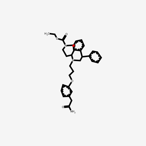 CCOC(=O)N1CCC(N(CCCOc2cccc(CC(N)=O)c2)CC(c2ccccc2)c2ccccc2)CC1